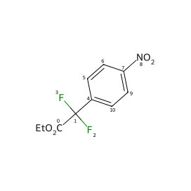 CCOC(=O)C(F)(F)c1ccc([N+](=O)[O-])cc1